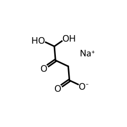 O=C([O-])CC(=O)C(O)O.[Na+]